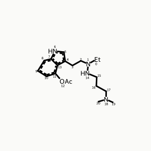 CCN(CCc1c[nH]c2cccc(OC(C)=O)c12)NCCCN(C)C